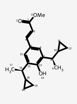 COC(=O)C=Cc1cc([C@H](C)C2CC2)c(O)c([C@H](C)C2CC2)c1